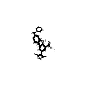 Cc1noc(C)c1-c1cc(C(N)=S)c2[nH]c3cc(C(=O)N4CCOCC4)ccc3c2c1